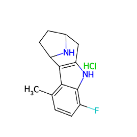 Cc1ccc(F)c2[nH]c3c(c12)C1CCC(C3)N1.Cl